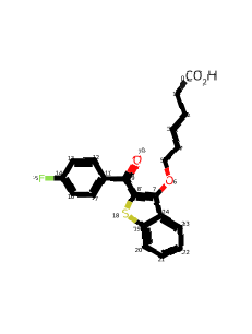 O=C(O)CCCCCOc1c(C(=O)c2ccc(F)cc2)sc2ccccc12